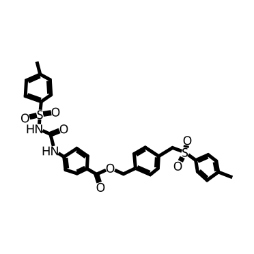 Cc1ccc(S(=O)(=O)Cc2ccc(COC(=O)c3ccc(NC(=O)NS(=O)(=O)c4ccc(C)cc4)cc3)cc2)cc1